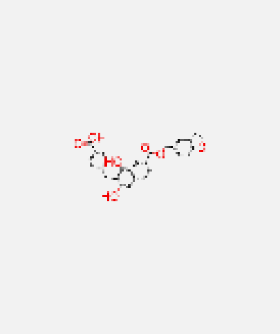 O=C(O)c1ccc(Cc2c(O)cc3ccc(C(=O)OCc4ccc5c(c4)CCO5)cc3c2O)cc1